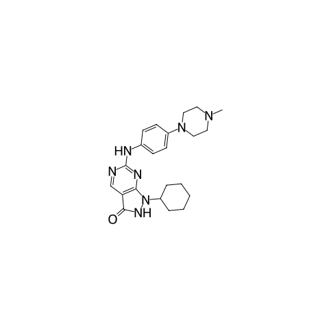 CN1CCN(c2ccc(Nc3ncc4c(=O)[nH]n(C5CCCCC5)c4n3)cc2)CC1